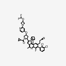 Cc1nc2c(F)c(-c3cccc(Cl)c3Cl)c(CCC#N)cc2c2c1cc(C1CC(Oc3ccnc(N4CC(OC(F)F)C4)c3)CN1C(=O)C1CC1)n2C1C2CNC1C2